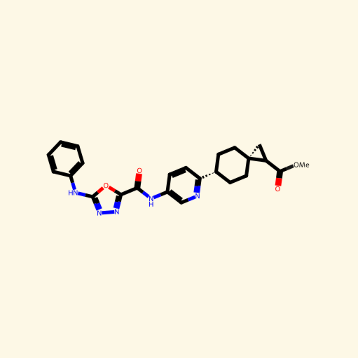 COC(=O)C1C[C@]12CC[C@@H](c1ccc(NC(=O)c3nnc(Nc4ccccc4)o3)cn1)CC2